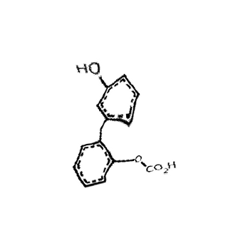 O=C(O)Oc1ccccc1-c1cccc(O)c1